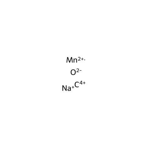 [C+4].[Mn+2].[Na+].[O-2]